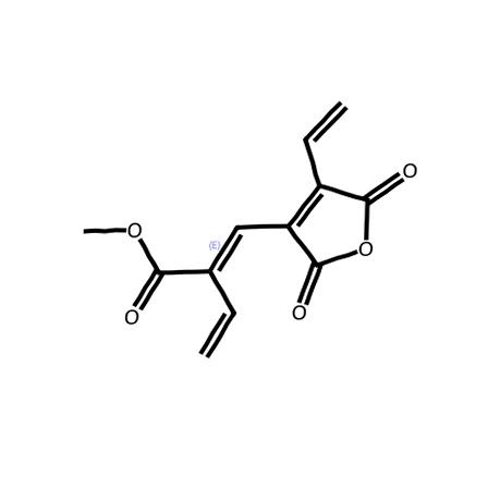 C=CC1=C(/C=C(\C=C)C(=O)OC)C(=O)OC1=O